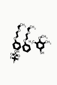 C=COCCOc1ccccc1.C=COCCOc1ccccc1.COc1c(C)cc(S)cc1C.O=S(=O)(O)C(F)(F)F